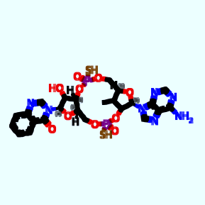 CC1C2OP(=O)(S)OC[C@H]3O[C@@H](n4cnc5ccccc5c4=O)C(O)[C@@H]3OP(=O)(S)OC[C@H]1O[C@H]2n1cnc2c(N)ncnc21